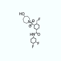 O=C(Nc1ccc(F)c(F)c1)c1ccc(CF)c(S(=O)(=O)N2CCCC(O)CC2)c1